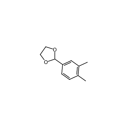 Cc1ccc(C2OCCO2)cc1C